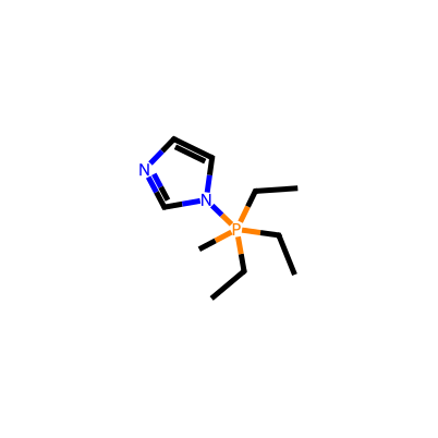 CCP(C)(CC)(CC)n1ccnc1